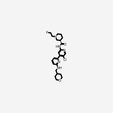 O=C(Nc1cc(-c2cccc(NCC3CCOCC3)n2)c(Cl)cn1)[C@@H]1CCCN(CCF)C1